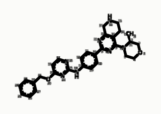 C[C@H]1COCCN1c1nc(-c2ccc(Nc3nccc(OCc4ccccc4)n3)cc2)nc2c1CCNC2